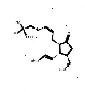 CCCCCC/C=C/[C@H]1[C@H](COC)CC(=O)[C@@H]1C/C=C\CCC(C)(O)C(=O)O